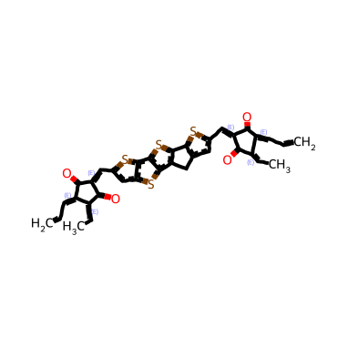 C=C/C=C1/C(=O)/C(=C/c2cc3c(s2)-c2sc4c(sc5cc(/C=C6\C(=O)C(=C/C)/C(=C\C=C)C6=O)sc54)c2C3)C(=O)/C1=C/C